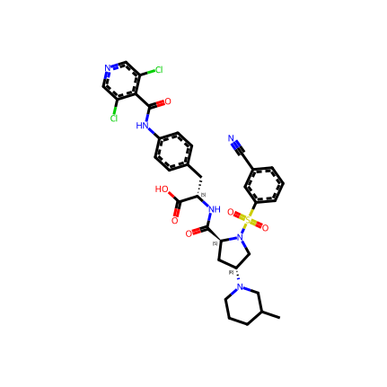 CC1CCCN([C@@H]2C[C@@H](C(=O)N[C@@H](Cc3ccc(NC(=O)c4c(Cl)cncc4Cl)cc3)C(=O)O)N(S(=O)(=O)c3cccc(C#N)c3)C2)C1